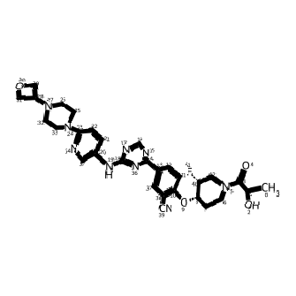 CC(O)C(=O)N1CC[C@H](Oc2ccc(-c3ncnc(Nc4ccc(N5CCN(C6COC6)CC5)nc4)n3)cc2C#N)[C@H](F)C1